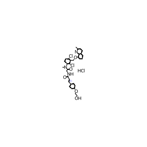 Cc1ccc2cccc(OCc3c(Cl)ccc(N(C)C(=O)CNC(=O)/C=C/c4ccc(OCCO)cc4)c3Cl)c2n1.Cl